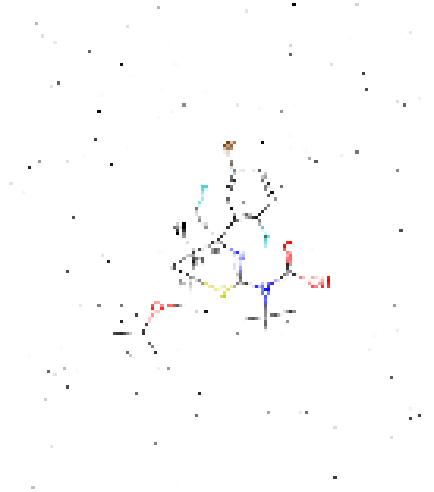 CC(C)OC[C@]12C[C@H]1[C@@](CF)(c1cc(Br)ccc1F)N=C(N(C(=O)O)C(C)(C)C)S2